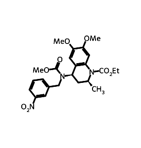 CCOC(=O)N1c2cc(OC)c(OC)cc2[C@H](N(Cc2cccc([N+](=O)[O-])c2)C(=O)OC)C[C@@H]1C